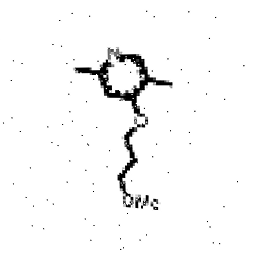 COCCCOc1cc(C)ncc1C